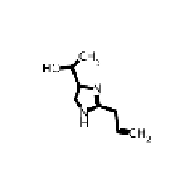 C=CCC1=NC(C(C)O)CN1